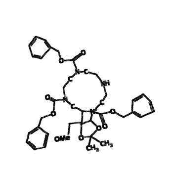 COCCC1CN(C(=O)OCc2ccccc2)CCN(C(=O)OCc2ccccc2)CCNCC[N+]1(C(=O)OCc1ccccc1)C1COC(C)(C)O1